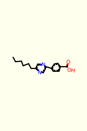 CCCCCCc1cnc(-c2ccc(C(=O)O)cc2)cn1